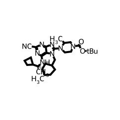 CC1CCC(Cn2c(N3CCN(C(=O)OC(C)(C)C)CC3C)nc3nc(C#N)nc(N[C@H](C)C4CCC4)c32)CC1